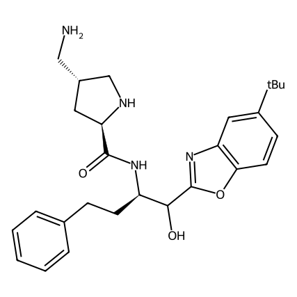 CC(C)(C)c1ccc2oc(C(O)[C@@H](CCc3ccccc3)NC(=O)[C@H]3C[C@H](CN)CN3)nc2c1